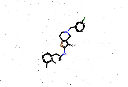 C=C(Cc1cccc(C)c1C)Nc1sc2c(c1C#N)CN(Cc1cccc(F)c1)CC2